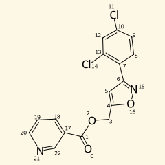 O=C(OCc1cc(-c2ccc(Cl)cc2Cl)no1)c1cccnc1